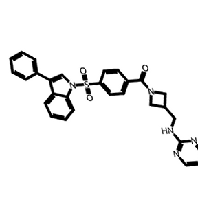 O=C(c1ccc(S(=O)(=O)n2cc(-c3ccccc3)c3ccccc32)cc1)N1CC(CNc2ncccn2)C1